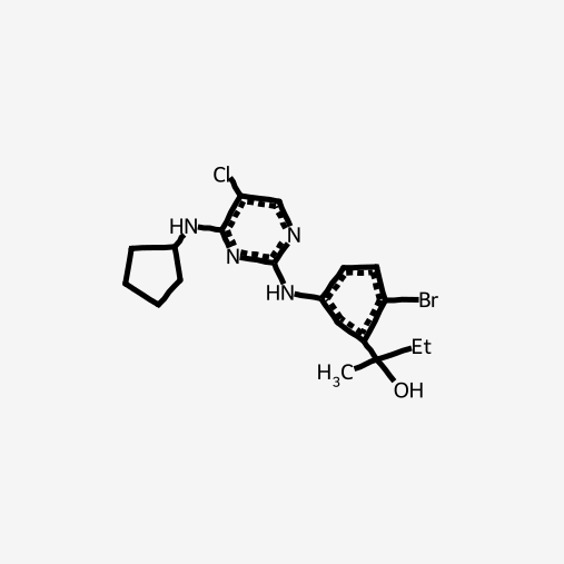 CCC(C)(O)c1cc(Nc2ncc(Cl)c(NC3CCCC3)n2)ccc1Br